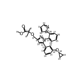 COC(=O)C(C)(C)OCc1cc(-c2cccc(OC3CC3)c2)n(-c2ccccc2-n2cccn2)n1